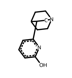 Oc1cccc(C2CN3CCC2CC3)n1